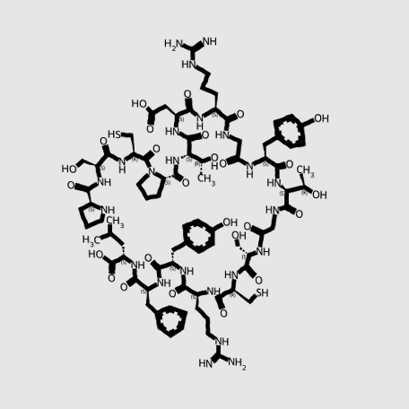 CC(C)C[C@H](NC(=O)[C@H](Cc1ccccc1)NC(=O)[C@H](Cc1ccc(O)cc1)NC(=O)[C@H](CCCNC(=N)N)NC(=O)[C@H](CS)NC(=O)[C@H](CO)NC(=O)CNC(=O)[C@@H](NC(=O)[C@H](Cc1ccc(O)cc1)NC(=O)CNC(=O)[C@H](CCCNC(=N)N)NC(=O)[C@H](CC(=O)O)NC(=O)[C@@H](NC(=O)[C@@H]1CCCN1C(=O)[C@H](CS)NC(=O)[C@H](CO)NC(=O)[C@@H]1CCCN1)[C@@H](C)O)[C@@H](C)O)C(=O)O